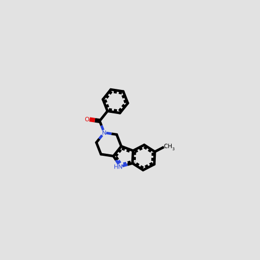 Cc1ccc2[nH]c3c(c2c1)CN(C(=O)c1ccccc1)CC3